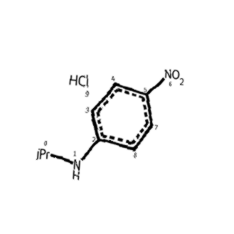 CC(C)Nc1ccc([N+](=O)[O-])cc1.Cl